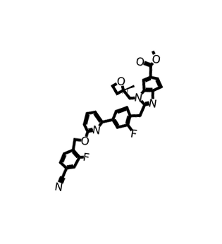 COC(=O)c1ccc2nc(Cc3ccc(-c4cccc(OCc5ccc(C#N)cc5F)n4)cc3F)n(C[C@]3(C)CCO3)c2c1